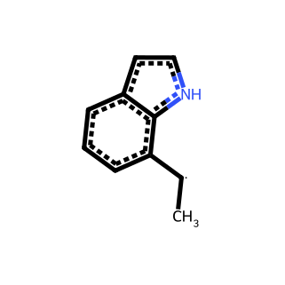 C[CH]c1cccc2cc[nH]c12